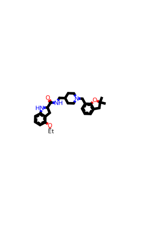 CCOc1cccc2c1CC(C(=O)NCC1CCN(Cc3cccc4c3OC(C)(C)C4)CC1)N2